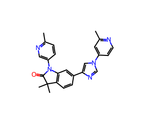 Cc1ccc(N2C(=O)C(C)(C)c3ccc(-c4cn(-c5ccnc(C)c5)cn4)cc32)cn1